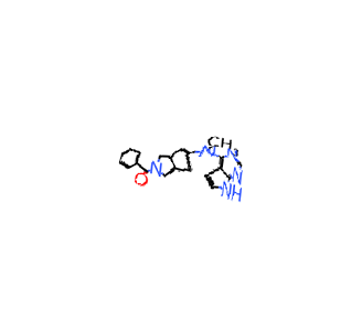 CN(c1ncnc2[nH]ccc12)C1CC2CN(C(=O)c3ccccc3)CC2C1